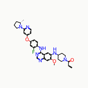 C=CC(=O)N1CCC(Nc2cc3c(Nc4ccc(Oc5ccnc(N6CCC[C@@H]6C)c5)cc4F)ncnc3cc2OC)CC1